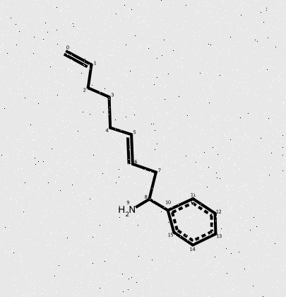 C=CCCC/C=C/CC(N)c1ccccc1